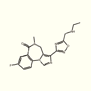 CCNCc1nc(-c2ncn3c2CN(C)C(=O)c2cc(F)ccc2-3)no1